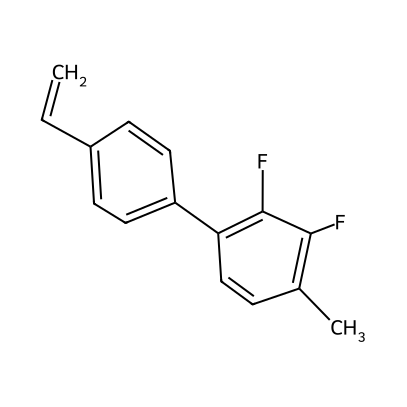 C=Cc1ccc(-c2ccc(C)c(F)c2F)cc1